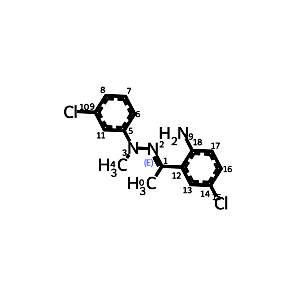 C/C(=N\N(C)c1cccc(Cl)c1)c1cc(Cl)ccc1N